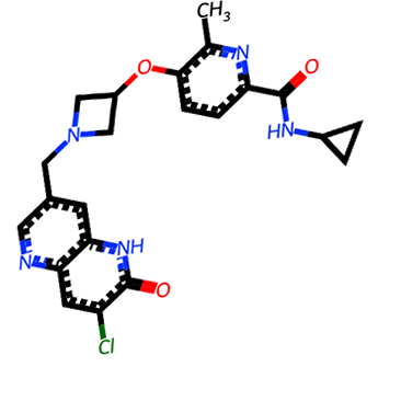 Cc1nc(C(=O)NC2CC2)ccc1OC1CN(Cc2cnc3cc(Cl)c(=O)[nH]c3c2)C1